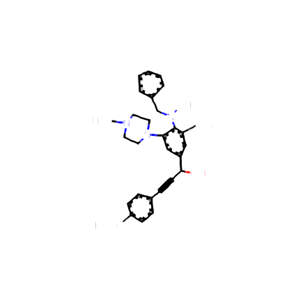 CN1CCN(c2cc(C(O)C#Cc3ccc(C(=O)O)cc3)cc(C(C)(C)C)c2N(C)Cc2ccccc2)CC1